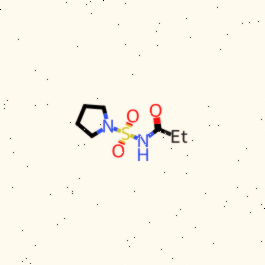 CCC(=O)NS(=O)(=O)N1CCCC1